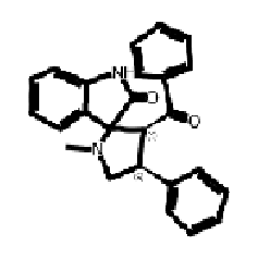 CN1C[C@H](c2ccccc2)[C@H](C(=O)c2ccccc2)C12C(=O)Nc1ccccc12